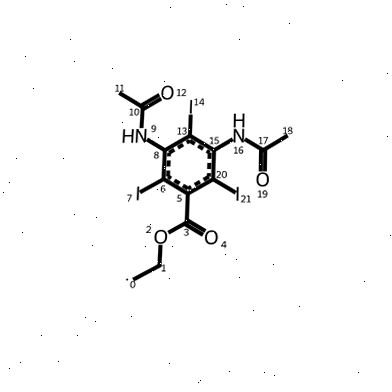 [CH2]COC(=O)c1c(I)c(NC(C)=O)c(I)c(NC(C)=O)c1I